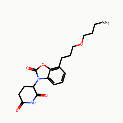 CNCCCOCCCc1cccc2c1oc(=O)n2C1CCC(=O)NC1=O